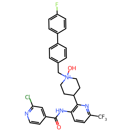 O=C(Nc1ccc(C(F)(F)F)nc1C1CC[N+](O)(Cc2ccc(-c3ccc(F)cc3)cc2)CC1)c1ccnc(Cl)c1